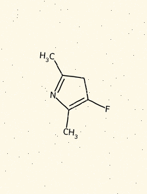 CC1=NC(C)=C(F)C1